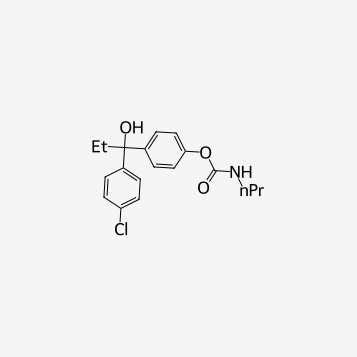 CCCNC(=O)Oc1ccc(C(O)(CC)c2ccc(Cl)cc2)cc1